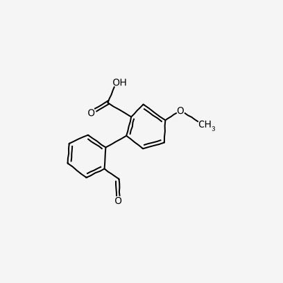 COc1ccc(-c2ccccc2C=O)c(C(=O)O)c1